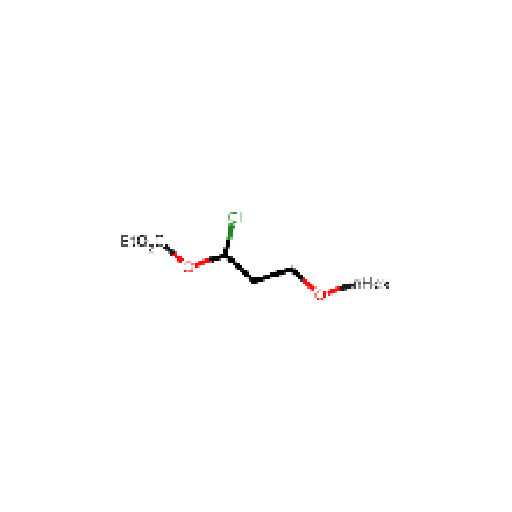 CCCCCCOCCC(Cl)OC(=O)OCC